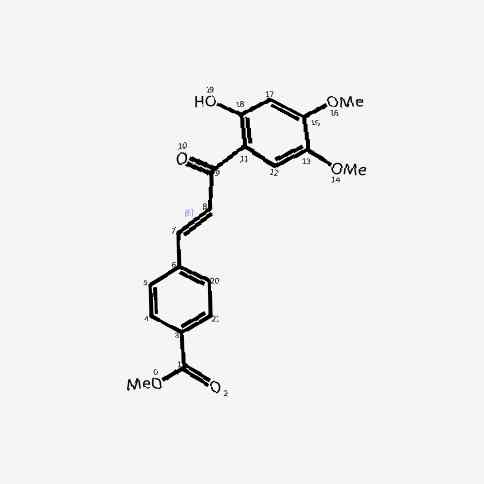 COC(=O)c1ccc(/C=C/C(=O)c2cc(OC)c(OC)cc2O)cc1